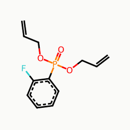 C=CCOP(=O)(OCC=C)c1ccccc1F